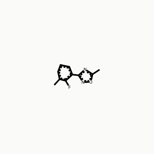 Cc1nc(-c2cccc(C)c2F)no1